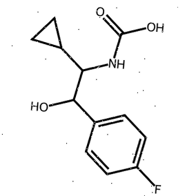 O=C(O)NC(C1CC1)C(O)c1ccc(F)cc1